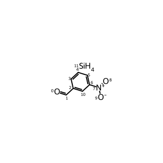 O=Cc1cccc([N+](=O)[O-])c1.[SiH4]